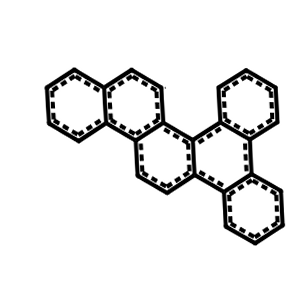 [c]1cc2ccccc2c2ccc3c4ccccc4c4ccccc4c3c12